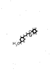 CCC1CC=C(CCCC(=O)Oc2ccccc2)CC1